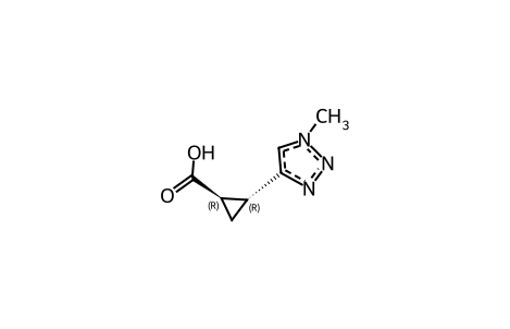 Cn1cc([C@@H]2C[C@H]2C(=O)O)nn1